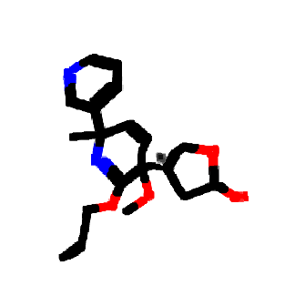 CCCOC1=NC(C)(c2cccnc2)C=CC1(OC)[C@@H]1COB(O)C1